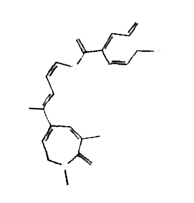 C=C/C=C(\C=C/CC(C)(C)C)C(=O)N/C=C\C=C(/C)C1=CCN(C)C(=O)C(C)=C1